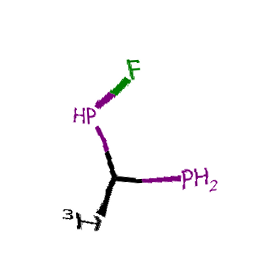 [3H]C(P)PF